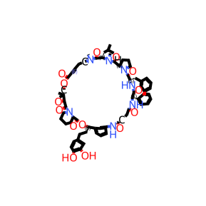 CC(C)C[C@H]1C(=O)N(C)CC/C=C/C(=O)OCC(C)(C)C(=O)C(=O)N2CCCCC2C(=O)O[C@H](CCc2ccc(O)c(O)c2)c2cccc(c2)NC(=O)CCC(=O)N[C@@H](c2ccccc2)C(=O)N[C@@H](Cc2ccccc2)C(=O)N2CCC[C@H]2C(=O)N1C